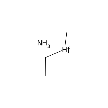 C[CH2][Hf][CH3].N